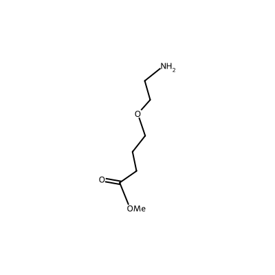 COC(=O)CCCOCCN